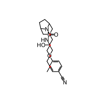 CCCCCCNC(=O)N1C2CCC1CN(CC(O)COc1ccc(C#N)cc1)C2